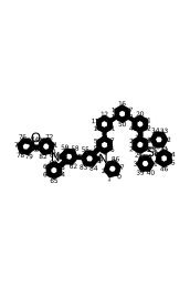 c1ccc(-n2c3ccc(-c4cccc(-c5cccc(-c6cccc(-c7cccc([Si](c8ccccc8)(c8ccccc8)c8ccccc8)c7)c6)c5)c4)cc3c3cc(-c4ccc5c(c4)c4ccccc4n5-c4ccc5oc6ccccc6c5c4)ccc32)cc1